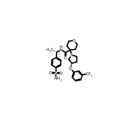 C[C@H](NC(=O)C1(N2CC[C@@H](Oc3cccc(C(F)(F)F)c3)C2)CCOCC1)c1ccc(S(N)(=O)=O)cc1